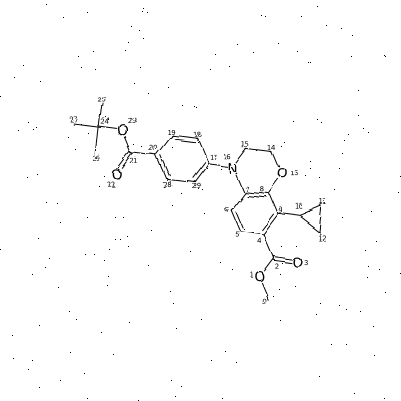 COC(=O)c1ccc2c(c1C1CC1)OCCN2c1ccc(C(=O)OC(C)(C)C)cc1